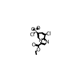 CCOC(=O)c1cnc2c(Cl)cc(S(=O)(=O)Cl)cn12